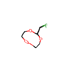 FCC1OCCOCCO1